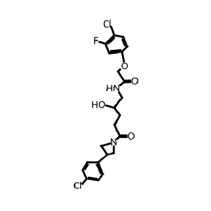 O=C(COc1ccc(Cl)c(F)c1)NCC(O)CCC(=O)N1CC(c2ccc(Cl)cc2)C1